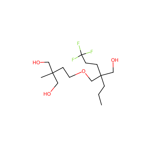 CCCC(CO)(CCC(F)(F)F)COCCC(C)(CO)CO